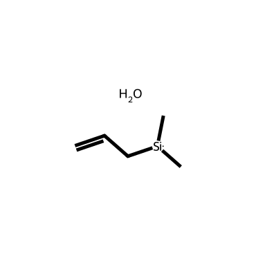 C=CC[Si](C)C.O